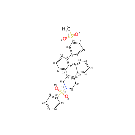 CS(=O)(=O)c1cccc(-c2cccc([C@H]3CN(S(=O)(=O)c4ccccc4)CC[C@H]3c3ccccc3)c2)c1